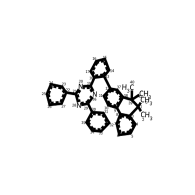 CC1(C)c2ccccc2-c2ccc(-c3ccccc3-c3nc(-c4ccccc4)nc(-c4ccccc4)n3)cc2C1(C)C